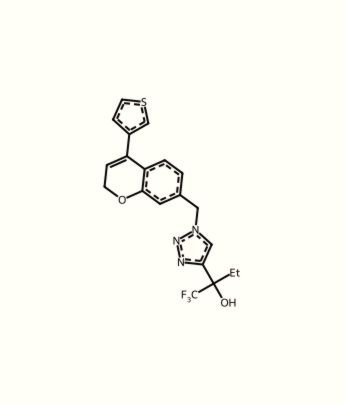 CCC(O)(c1cn(Cc2ccc3c(c2)OCC=C3c2ccsc2)nn1)C(F)(F)F